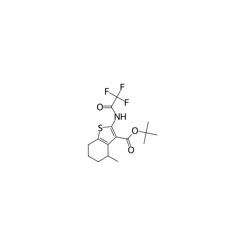 CC1CCCc2sc(NC(=O)C(F)(F)F)c(C(=O)OC(C)(C)C)c21